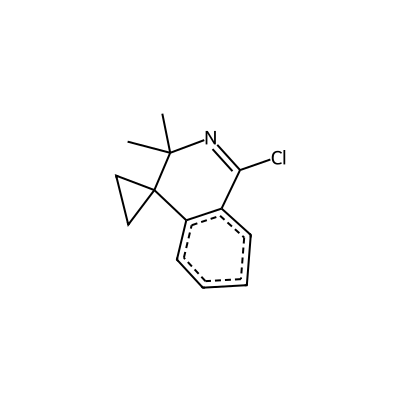 CC1(C)N=C(Cl)c2ccccc2C12CC2